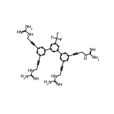 N=C(N)NCC#Cc1cc(C#CCNC(=N)N)cc(-c2cc(-c3cc(C#CCNC(=N)N)cc(C#CCNC(=N)N)c3)cc(C(F)(F)F)c2)c1